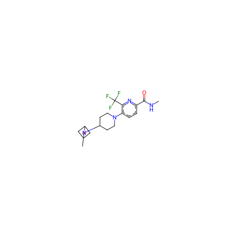 CNC(=O)c1ccc(N2CCC(N3CC4(C)CC3C4)CC2)c(C(F)(F)F)n1